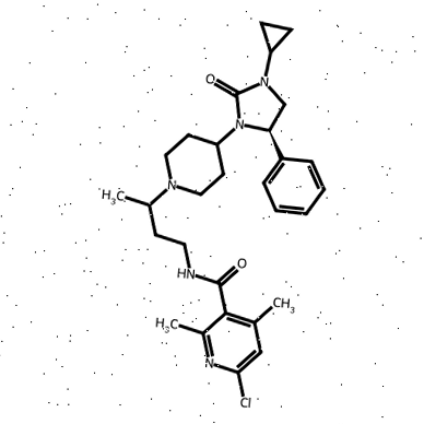 Cc1cc(Cl)nc(C)c1C(=O)NCCC(C)N1CCC(N2C(=O)N(C3CC3)C[C@H]2c2ccccc2)CC1